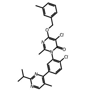 Cc1cccc(COc2nc(C)n(-c3cc(-c4nc(C(C)C)ncc4C)ccc3Cl)c(=O)c2Cl)c1